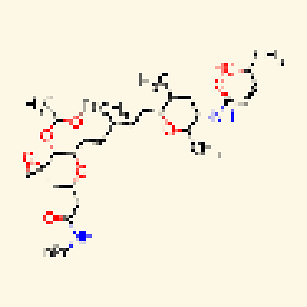 CCCNC(=O)C[C@@H]1C[C@@]2(CO2)[C@H](OC(C)OCC)[C@@H](/C=C/C(C)=C/C[C@@H]2O[C@H](C)[C@H](NC(=O)/C=C\[C@H](C)O)C[C@@H]2C)O1